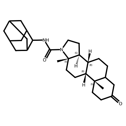 C[C@]12CCC(=O)CC1CC[C@@H]1[C@H]2CC[C@@]2(C)[C@H]1CCN2C(=O)NC1C2CC3CC(C2)CC1C3